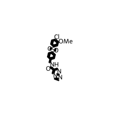 COc1cc(S(=O)(=O)c2ccc(CNC(=O)c3cnc4nccn4c3)cc2)ccc1Cl